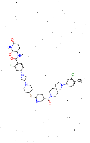 C[C@H]1CC2(CCN(C(=O)c3ccc(SC4CCN(C5CN(c6ccc(C(=O)N[C@@H]7CCC(=O)NC7=O)c(F)c6)C5)CC4)nc3)CC2)CN1c1ccc(C#N)c(Cl)c1